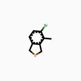 Cc1c(Br)ccc2c1CSC2